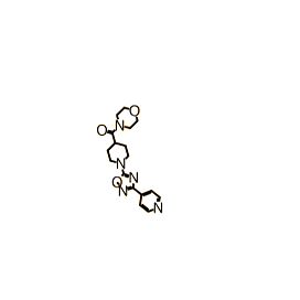 O=C(C1CCN(c2nc(-c3ccncc3)no2)CC1)N1CCOCC1